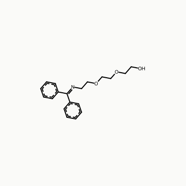 OCCOCCOCCN=C(c1ccccc1)c1ccccc1